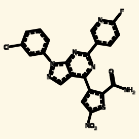 NC(=O)c1sc([N+](=O)[O-])cc1-c1nc(-c2ccc(F)nc2)nc2c1cnn2-c1cccc(Cl)c1